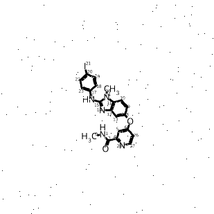 CNC(=O)c1cc(Oc2ccc3c(c2)nc(Nc2ccc(I)cc2)n3C)ccn1